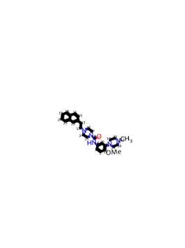 COc1ccc(NC(=O)N2CCN(CCc3ccc4ccccc4c3)CC2)cc1N1CCN(C)CC1